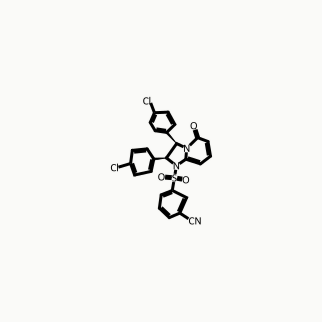 N#Cc1cccc(S(=O)(=O)N2c3cccc(=O)n3[C@H](c3ccc(Cl)cc3)[C@@H]2c2ccc(Cl)cc2)c1